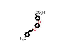 O=C(O)Cc1ccc(Oc2ccc(OCC=Cc3ccc(C(F)(F)F)cc3)cc2)cc1